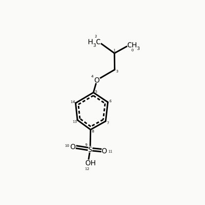 CC(C)COc1ccc(S(=O)(=O)O)cc1